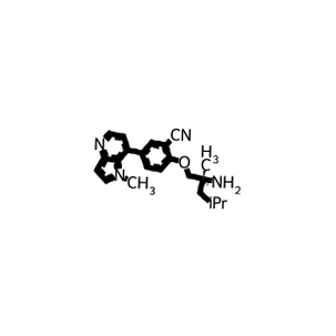 CC(C)C[C@](C)(N)COc1ccc(-c2ccnc3ccn(C)c23)cc1C#N